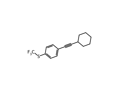 FC(F)(F)Sc1ccc(C#CC2CCCCC2)cc1